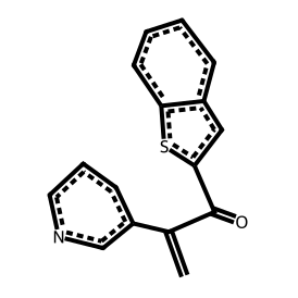 C=C(C(=O)c1cc2ccccc2s1)c1cccnc1